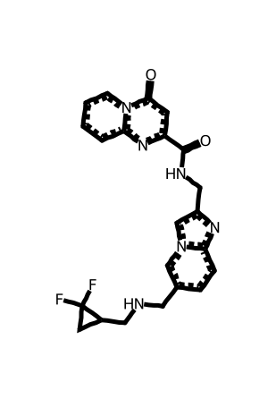 O=C(NCc1cn2cc(CNCC3CC3(F)F)ccc2n1)c1cc(=O)n2ccccc2n1